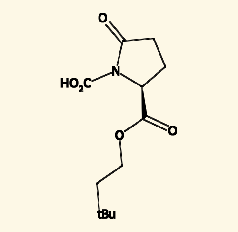 CC(C)(C)CCOC(=O)[C@@H]1CCC(=O)N1C(=O)O